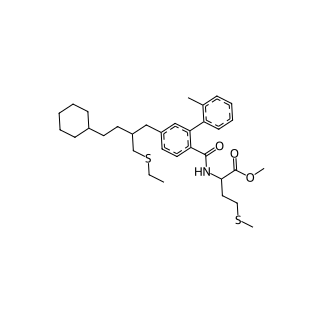 CCSCC(CCC1CCCCC1)Cc1ccc(C(=O)NC(CCSC)C(=O)OC)c(-c2ccccc2C)c1